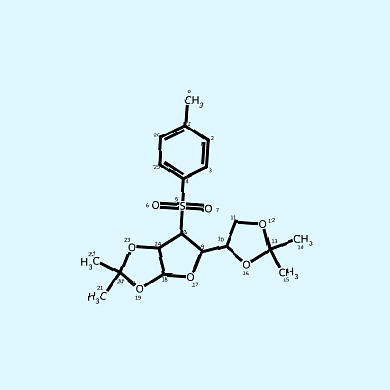 Cc1ccc(S(=O)(=O)C2C(C3COC(C)(C)O3)OC3OC(C)(C)OC32)cc1